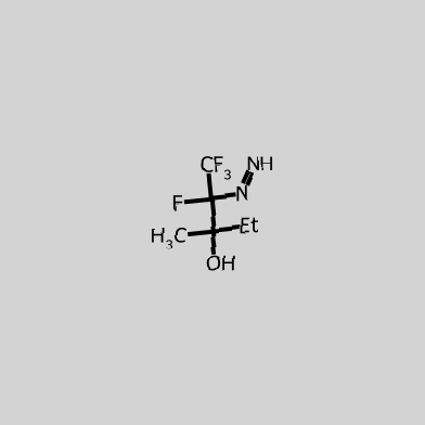 CCC(C)(O)C(F)(N=N)C(F)(F)F